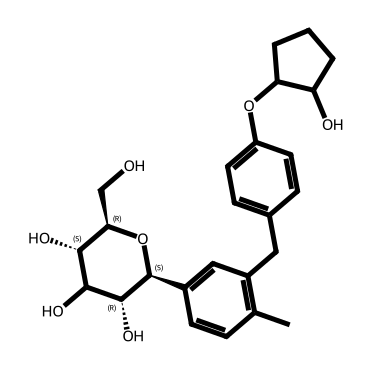 Cc1ccc([C@@H]2O[C@H](CO)[C@@H](O)C(O)[C@H]2O)cc1Cc1ccc(OC2CCCC2O)cc1